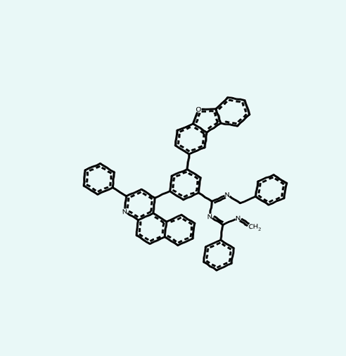 C=N/C(=N\C(=N/Cc1ccccc1)c1cc(-c2ccc3oc4ccccc4c3c2)cc(-c2cc(-c3ccccc3)nc3ccc4ccccc4c23)c1)c1ccccc1